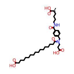 C[C@@H](CCCCNC(=O)c1ccc(CN(CCC(=O)O)C(=O)CCCCCCCCCCCCCCCC(=O)O)cc1)C(=O)O